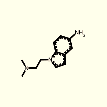 CN(C)CCn1ccc2cc(N)ccc21